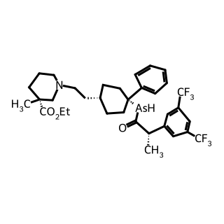 CCOC(=O)[C@]1(C)CCCN(CC[C@H]2CC[C@]([AsH]C(=O)[C@@H](C)c3cc(C(F)(F)F)cc(C(F)(F)F)c3)(c3ccccc3)CC2)C1